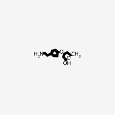 CCCC(CC(=O)O)Oc1ccc(CCN)cc1